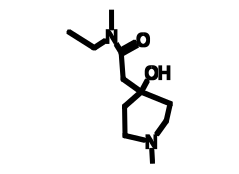 CCN(C)C(=O)CC1(O)CCN(C)CC1